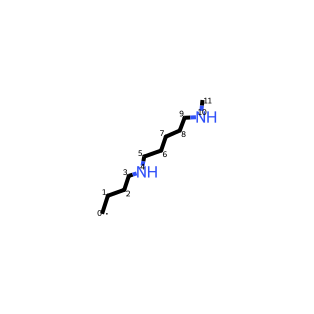 [CH2]CCCNCCCCCNC